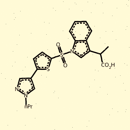 CCCn1cc(-c2ccc(S(=O)(=O)n3cc(C(C)C(=O)O)c4ccccc43)s2)cn1